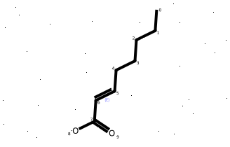 CCCCC/C=C/C([O])=O